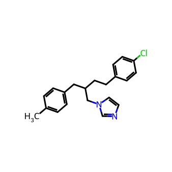 Cc1ccc(CC(CCc2ccc(Cl)cc2)Cn2ccnc2)cc1